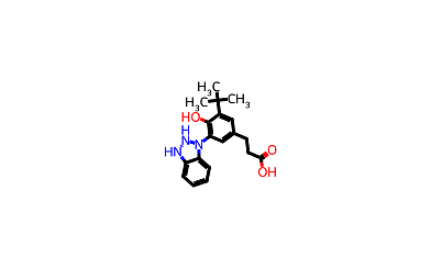 CC(C)(C)c1cc(CCC(=O)O)cc(N2NNc3ccccc32)c1O